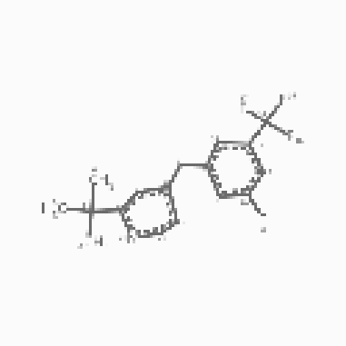 CC(C)(C)c1cc(Cc2cc(F)cc(C(F)(F)F)c2)ccn1